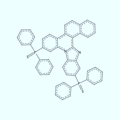 S=P(c1ccccc1)(c1ccccc1)c1ccc2c(c1)nc1c3c4ccccc4ccc3c3ccc(P(=S)(c4ccccc4)c4ccccc4)cc3n21